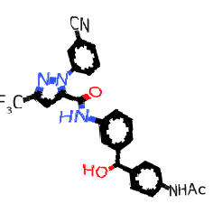 CC(=O)Nc1ccc(C(O)c2cccc(NC(=O)c3cc(C(F)(F)F)nn3-c3cccc(C#N)c3)c2)cc1